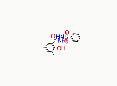 Cc1cc(C(C)(C)C)cc(C(=O)NNS(=O)(=O)c2ccccc2)c1O